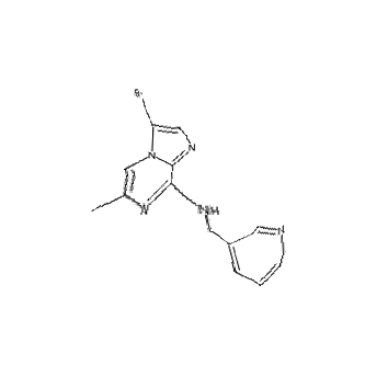 Cc1cn2c(Br)cnc2c(NCc2cccnc2)n1